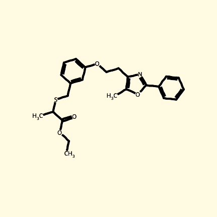 CCOC(=O)C(C)SCc1cccc(OCCc2nc(-c3ccccc3)oc2C)c1